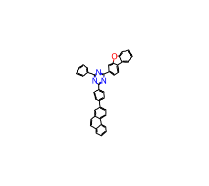 c1ccc(-c2nc(-c3ccc(-c4ccc5c(ccc6ccccc65)c4)cc3)nc(-c3ccc4c(c3)oc3ccccc34)n2)cc1